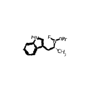 CCCN(F)[C@H](C)Cc1c[nH]c2ccccc12